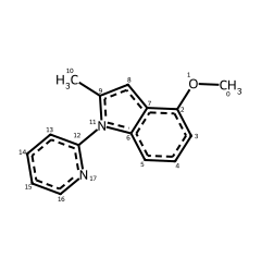 COc1cccc2c1cc(C)n2-c1ccccn1